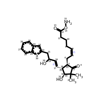 CC1(C)C(=O)[C@H](C/C=C\CCCC(=O)ON)[C@@H](/C=C/C(O)Cc2cc3ccccc3s2)[C@@H]1O